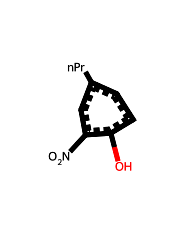 [CH2]CCc1ccc(O)c([N+](=O)[O-])c1